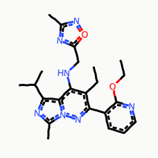 CCOc1ncccc1-c1nn2c(C)nc(C(C)C)c2c(NCc2nc(C)no2)c1CC